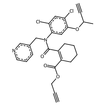 C#CCOC(=O)C1=C(C(=O)N(Cc2cccnc2)c2cc(OC(C)C#C)c(Cl)cc2Cl)CCCC1